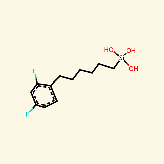 O[Si](O)(O)CCCCCCc1ccc(F)cc1F